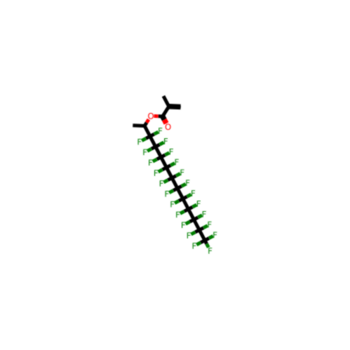 C=C(C)C(=O)OC(C)C(F)(F)C(F)(F)C(F)(F)C(F)(F)C(F)(F)C(F)(F)C(F)(F)C(F)(F)C(F)(F)C(F)(F)C(F)(F)F